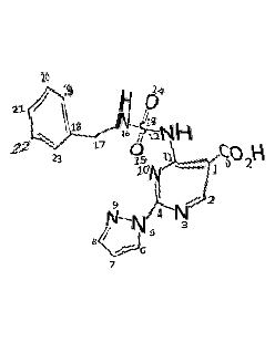 O=C(O)c1cnc(-n2cccn2)nc1NS(=O)(=O)NCc1ccccc1